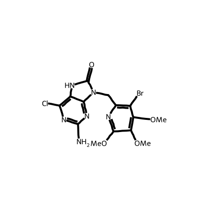 COc1nc(Cn2c(=O)[nH]c3c(Cl)nc(N)nc32)c(Br)c(OC)c1OC